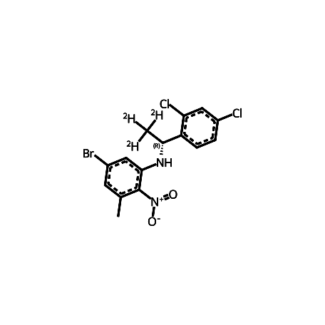 [2H]C([2H])([2H])[C@@H](Nc1cc(Br)cc(C)c1[N+](=O)[O-])c1ccc(Cl)cc1Cl